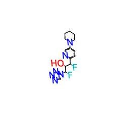 OC(C(F)c1ccc(N2CCCCC2)cn1)C(F)n1cnnn1